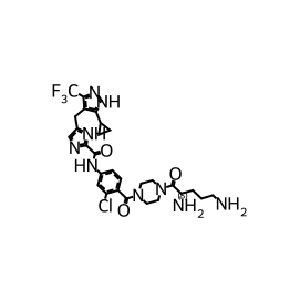 NCCC[C@H](N)C(=O)N1CCN(C(=O)c2ccc(NC(=O)c3ncc(Cc4c(C(F)(F)F)n[nH]c4C4CC4)[nH]3)cc2Cl)CC1